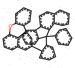 c1ccc(C2(c3ccccc3-c3cc4c5c(cccc5c3)Oc3ccccc3-4)c3ccccc3-c3ccc4ccccc4c32)cc1